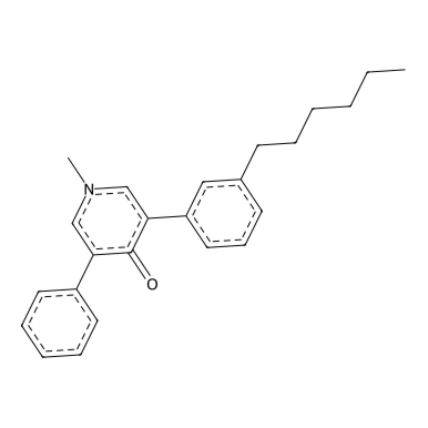 CCCCCCc1cccc(-c2cn(C)cc(-c3ccccc3)c2=O)c1